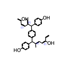 C=C/C(O)=C\C=C(/C)C(c1ccc(O)cc1)c1ccc(C(C(/C=C\C(=C)O)=C/C)c2ccc(O)cc2)cc1